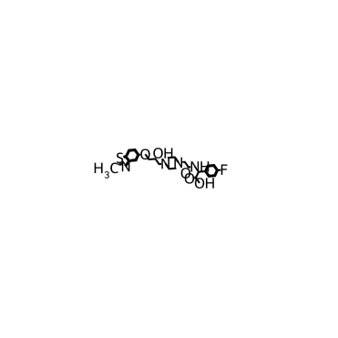 Cc1nc2cc(OC[C@@H](O)CN3CCN(CC(=O)N[C@H](C(=O)O)c4ccc(F)cc4)CC3)ccc2s1